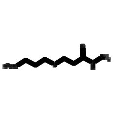 CCCCCCCCSCCC(=O)NN